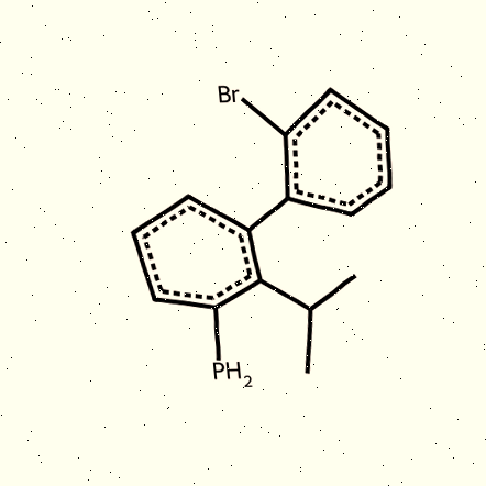 CC(C)c1c(P)cccc1-c1ccccc1Br